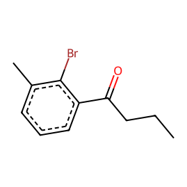 CCCC(=O)c1cccc(C)c1Br